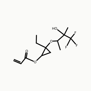 C=CC(=O)OC1CC1(CC)OC(C)C(C)(O)C(F)(F)F